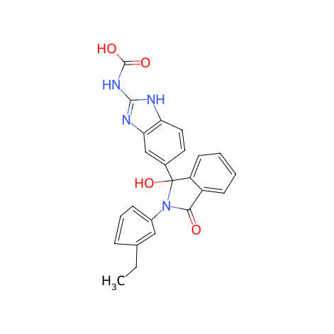 CCc1cccc(N2C(=O)c3ccccc3C2(O)c2ccc3[nH]c(NC(=O)O)nc3c2)c1